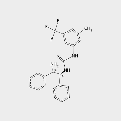 Cc1cc(NC(=S)N[C@@H](c2ccccc2)[C@@H](N)c2ccccc2)cc(C(F)(F)F)c1